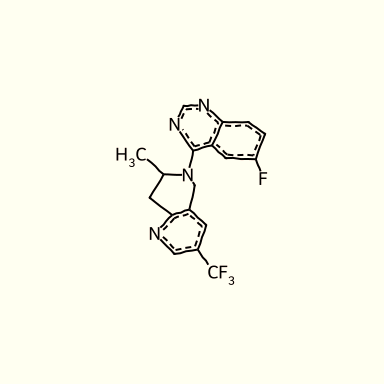 CC1Cc2ncc(C(F)(F)F)cc2CN1c1ncnc2ccc(F)cc12